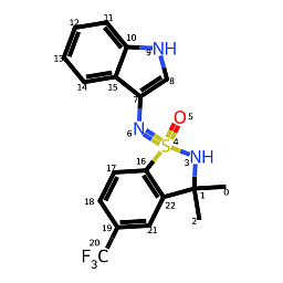 CC1(C)NS(=O)(=Nc2c[nH]c3ccccc23)c2ccc(C(F)(F)F)cc21